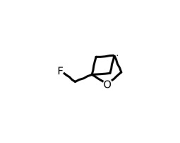 FCC12C[C](CO1)C2